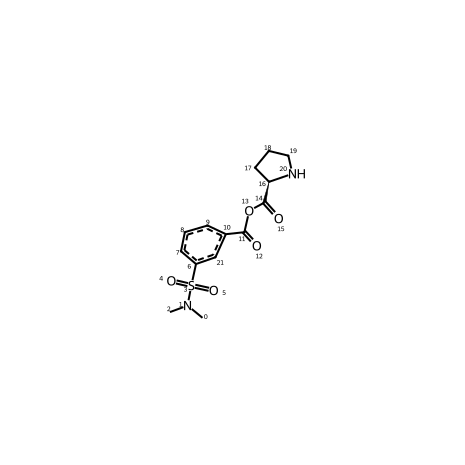 CN(C)S(=O)(=O)c1cccc(C(=O)OC(=O)[C@H]2CCCN2)c1